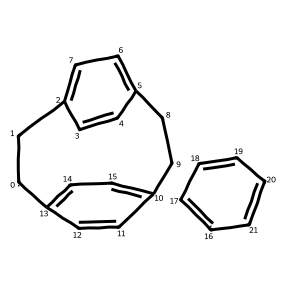 [CH]1Cc2ccc(cc2)CCc2ccc1cc2.[c]1ccccc1